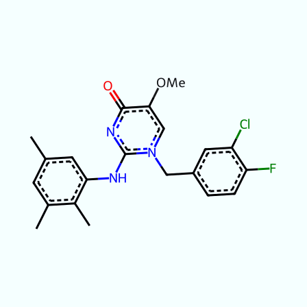 COc1cn(Cc2ccc(F)c(Cl)c2)c(Nc2cc(C)cc(C)c2C)nc1=O